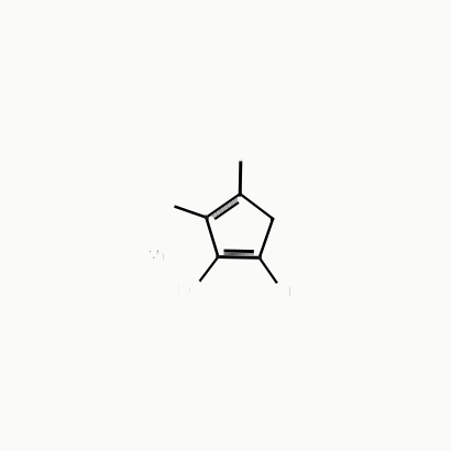 CC1=C(C)C(C)=C(C)C1.[Mn]